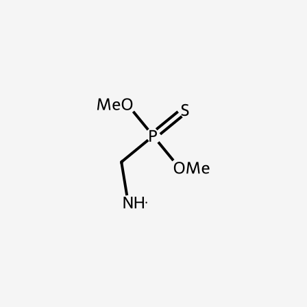 COP(=S)(C[NH])OC